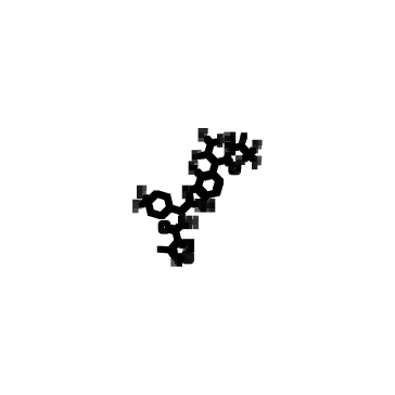 Cc1nonc1C(=O)N[C@H](c1nc2c(F)c(C(C(=O)N[C@@H](C)C(F)(F)F)C(F)C(F)F)ccc2[nH]1)C1CCC(F)(F)CC1